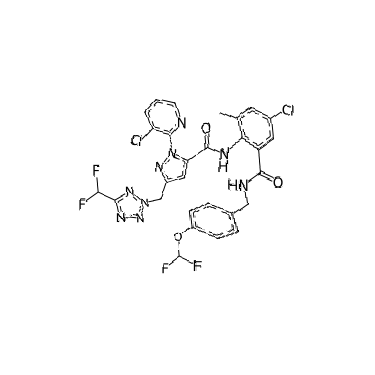 Cc1cc(Cl)cc(C(=O)NCc2ccc(OC(F)F)cc2)c1NC(=O)c1cc(Cn2nnc(C(F)F)n2)nn1-c1ncccc1Cl